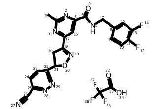 Cc1nc(C(=O)NCc2ccc(F)c(F)c2)cc(C2=NOC(c3ccc(C#N)nn3)C2)n1.O=C(O)C(F)(F)F